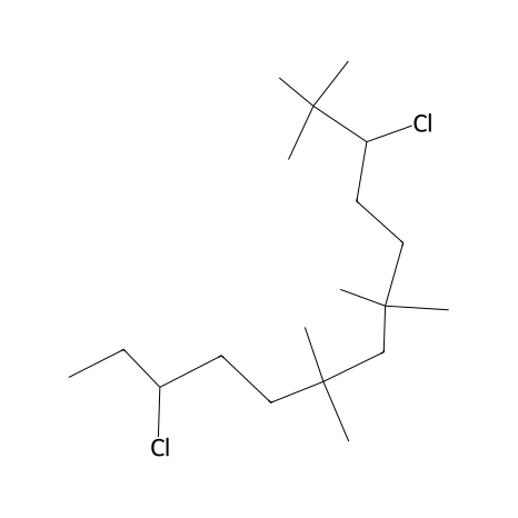 CCC(Cl)CCC(C)(C)CC(C)(C)CCC(Cl)C(C)(C)C